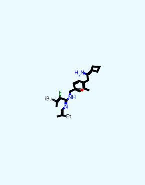 C\C=C(/C=C\C(CC(N)=C1CCC1)=C(\C)CC)CNC(=N/C=C(/C)CC)/C(F)=C(\C)C(C)CC